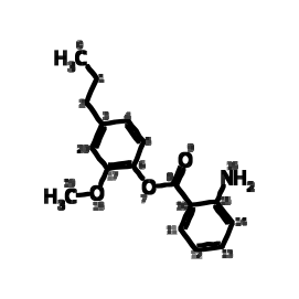 CCCc1ccc(OC(=O)c2ccccc2N)c(OC)c1